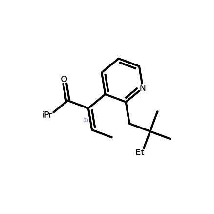 C/C=C(/C(=O)C(C)C)c1cccnc1CC(C)(C)CC